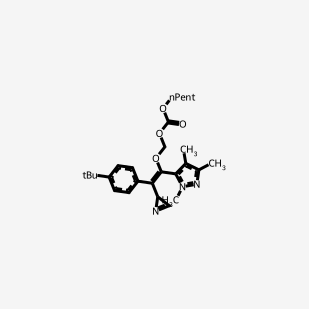 CCCCCOC(=O)OCO/C(=C(\c1ccc(C(C)(C)C)cc1)C1C=N1)c1c(C)c(C)nn1C